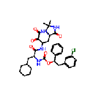 CC1(C)CC(CC(NC(=O)[C@H](CC2CCCCC2)NC(=O)OC(Cc2cccc(Cl)c2)c2ccccc2)C(=O)C(N)=O)C(=O)N1